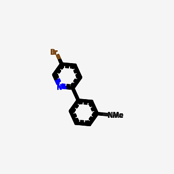 CNc1cccc(-c2ccc(Br)cn2)c1